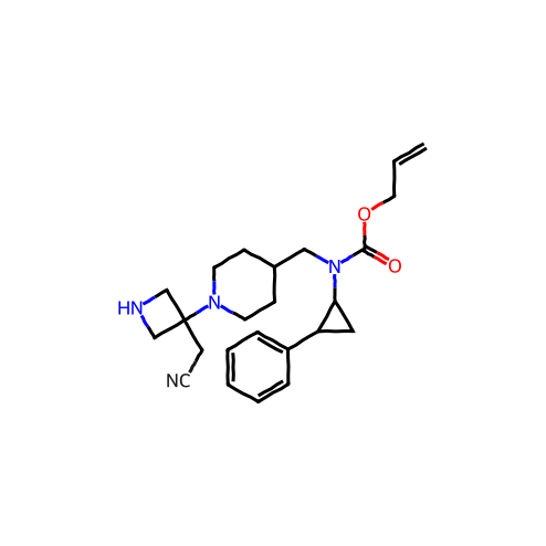 C=CCOC(=O)N(CC1CCN(C2(CC#N)CNC2)CC1)C1CC1c1ccccc1